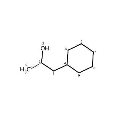 C[C@H](O)CC1CCCCC1